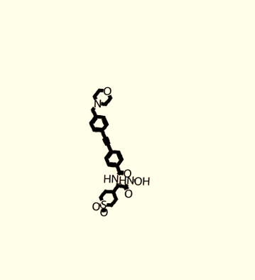 O=C(N[C@H](C(=O)NO)C1CCS(=O)(=O)CC1)c1ccc(C#Cc2ccc(CN3CCOCC3)cc2)cc1